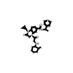 CC(NC(=O)c1ccc2c(c1)N(C(=O)CNC1CCCCC1C)CC(=O)N2C1CC1)c1ccncc1